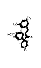 Cl.O=C(CCc1cc(C(F)(F)F)cc(C(F)(F)F)c1)C1(c2ccccc2)CCNCC1